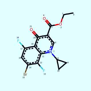 CCOC(=O)c1cn(C2CC2)c2c(F)c(Br)cc(F)c2c1=O